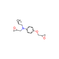 C=CCN(CC1CO1)c1ccc(OCC2CO2)cc1